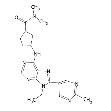 CCn1c(-c2cnc(C)nc2)nc2c(NC3CCC(C(=O)N(C)C)C3)ncnc21